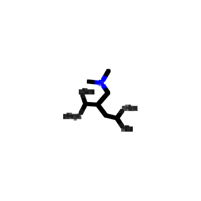 CCCCCCCCCC(CCCCCCC)C(CC(CCCC)CCCCCC)CN(C)C